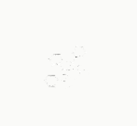 CO[C@H]1O[C@H](CO)[C@](O)(Cc2ccccc2)[C@@](O)(Cc2ccccc2)[C@]1(O)C(=O)c1ccccc1